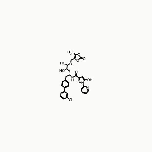 Cc1oc(=O)oc1COC(O)[C@H](O)C[C@@H](Cc1ccc(-c2cccc(Cl)c2)cc1)NC(=O)c1cc(O)n(-c2ccccn2)n1